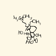 CCn1c(CCCN(C)C)nc2c1CCCc1c-2[nH]c(=O)c(C(=O)O)c1O.Cl